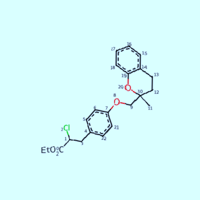 CCOC(=O)C(Cl)Cc1ccc(OCC2(C)CCc3ccccc3O2)cc1